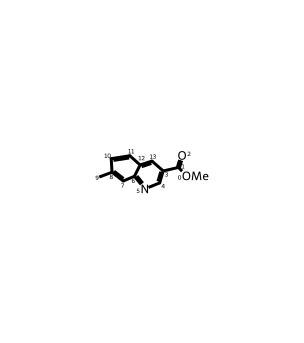 COC(=O)c1cnc2cc(C)ccc2c1